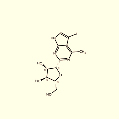 Cc1nc([C@@H]2O[C@H](CO)[C@@H](O)[C@H]2O)nc2[nH]cc(I)c12